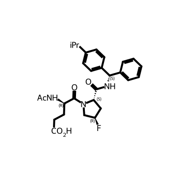 CC(=O)N[C@H](CCC(=O)O)C(=O)N1C[C@H](F)C[C@H]1C(=O)N[C@@H](c1ccccc1)c1ccc(C(C)C)cc1